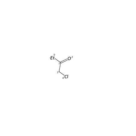 C[CH]C(=O)CCl